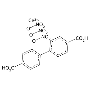 O=C(O)c1ccc(-c2ccc(C(=O)O)cc2)cc1.O=[N+]([O-])[O-].O=[N+]([O-])[O-].O=[N+]([O-])[O-].[Ce+3]